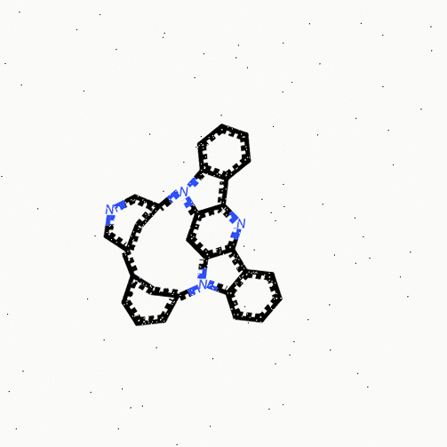 c1ccc2c(c1)c1nc3c4ccccc4n4c5cncc(c5)c5cccc(c5)n2c1cc34